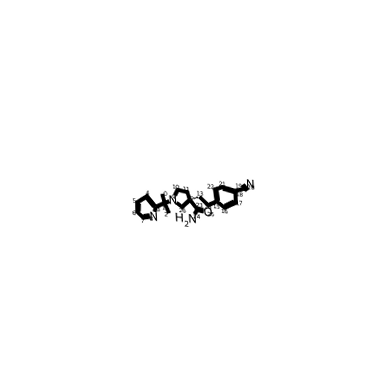 CC(C)(c1ccccn1)N1CC[C@@](CCc2ccc(C#N)cc2)(C(N)=O)C1